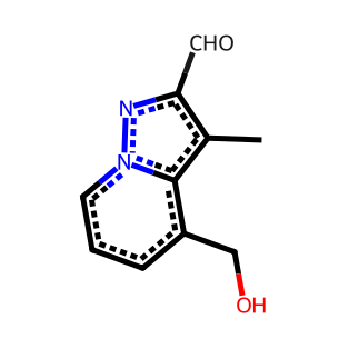 Cc1c(C=O)nn2cccc(CO)c12